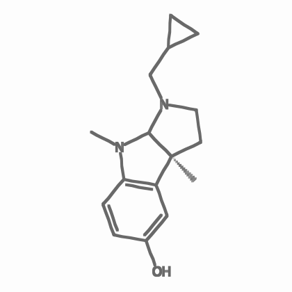 CN1c2ccc(O)cc2[C@]2(C)CCN(CC3CC3)C12